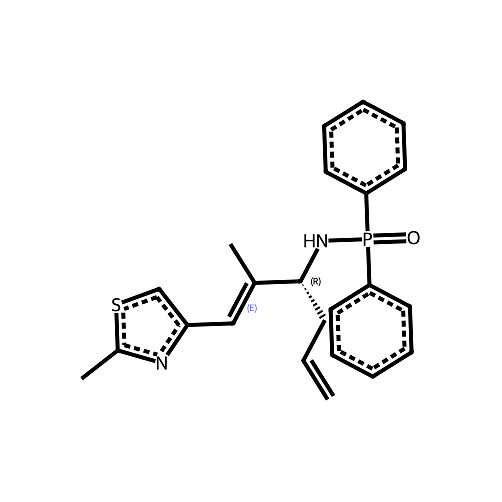 C=CC[C@@H](NP(=O)(c1ccccc1)c1ccccc1)/C(C)=C/c1csc(C)n1